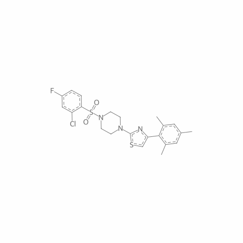 Cc1cc(C)c(-c2csc(N3CCN(S(=O)(=O)c4ccc(F)cc4Cl)CC3)n2)c(C)c1